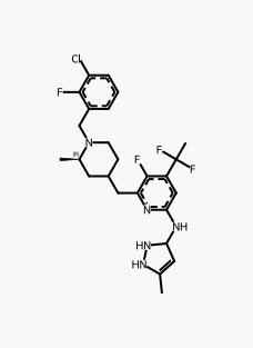 CC1=CC(Nc2cc(C(C)(F)F)c(F)c(CC3CCN(Cc4cccc(Cl)c4F)[C@H](C)C3)n2)NN1